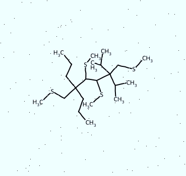 CCCC(CCC)(CSC)C(SC)C(SC)C(CSC)(C(C)C)C(C)C